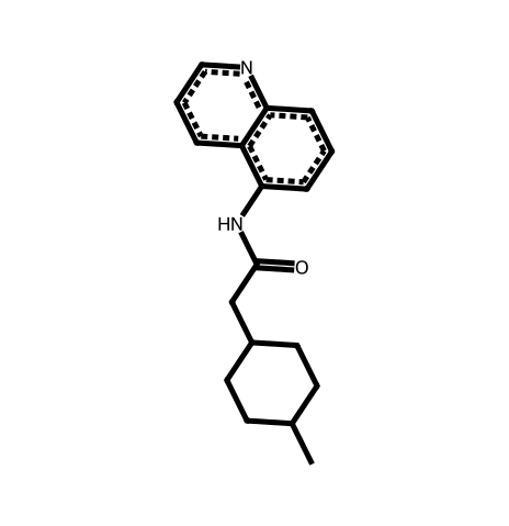 CC1CCC(CC(=O)Nc2cccc3ncccc23)CC1